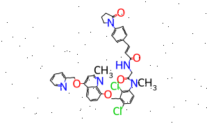 Cc1cc(OCc2ccccn2)c2cccc(OCc3c(Cl)ccc(N(C)C(=O)CNC(=O)C=Cc4ccc(N5CCCC5=O)cc4)c3Cl)c2n1